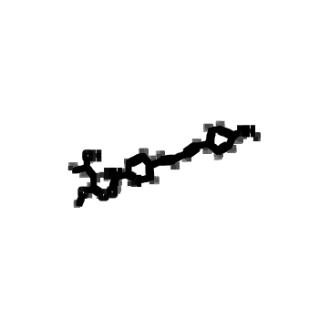 COC(=O)[C@@H](NC(=O)c1ccc(C#CC#Cc2ccc(N)cc2)cn1)C(C)O